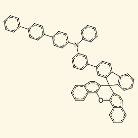 c1ccc(-c2ccc(-c3ccc(N(c4ccccc4)c4cccc(-c5ccc6c(c5)C5(c7ccccc7-6)c6ccc7ccccc7c6Oc6c5ccc5ccccc65)c4)cc3)cc2)cc1